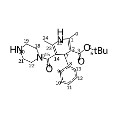 CC1=C(C(=O)OC(C)(C)C)C(c2ccccc2)C(C(=O)N2CCNCC2)=C(C)N1